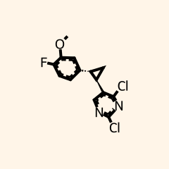 COc1cc([C@@H]2C[C@H]2c2cnc(Cl)nc2Cl)ccc1F